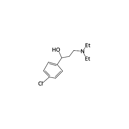 CCN(CC)CCC(O)c1ccc(Cl)cc1